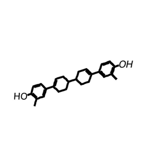 Cc1cc(C2=CCC(C3CC=C(c4ccc(O)c(C)c4)CC3)CC2)ccc1O